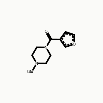 CC(C)(C)N1CCN(C(=O)c2ccoc2)CC1